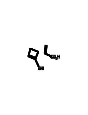 C=CC(=O)O.OC1=CCC1